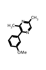 COc1cccc(-c2ncc(C)nc2C)c1